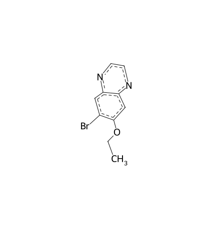 CCOc1cc2nccnc2cc1Br